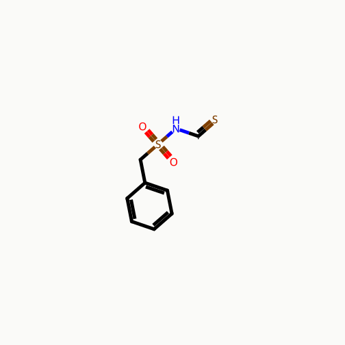 O=S(=O)(Cc1ccccc1)N[C]=S